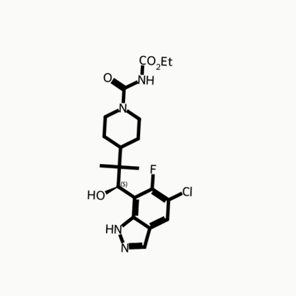 CCOC(=O)NC(=O)N1CCC(C(C)(C)[C@H](O)c2c(F)c(Cl)cc3cn[nH]c23)CC1